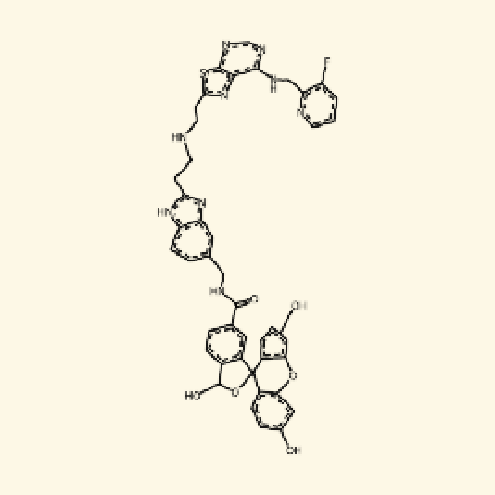 O=C(NCc1ccc2[nH]c(CCNCCc3nc4c(NCc5ncccc5F)ncnc4s3)nc2c1)c1ccc2c(c1)C1(OC2O)c2ccc(O)cc2Oc2cc(O)ccc21